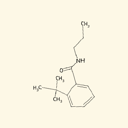 CCCNC(=O)c1ccccc1C(C)(C)C